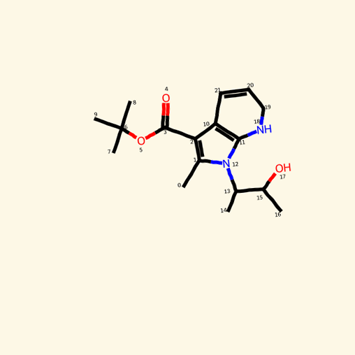 Cc1c(C(=O)OC(C)(C)C)c2c(n1C(C)C(C)O)NCC=C2